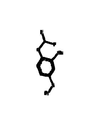 CC(C)Sc1ccc(OC(F)F)c(C(C)(C)C)c1